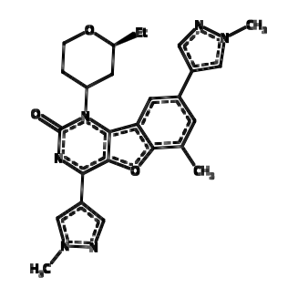 CC[C@H]1CC(n2c(=O)nc(-c3cnn(C)c3)c3oc4c(C)cc(-c5cnn(C)c5)cc4c32)CCO1